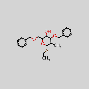 CCS[C@@H]1OC(COCc2ccccc2)[C@@H](O)[C@@H](OCc2ccccc2)C1C